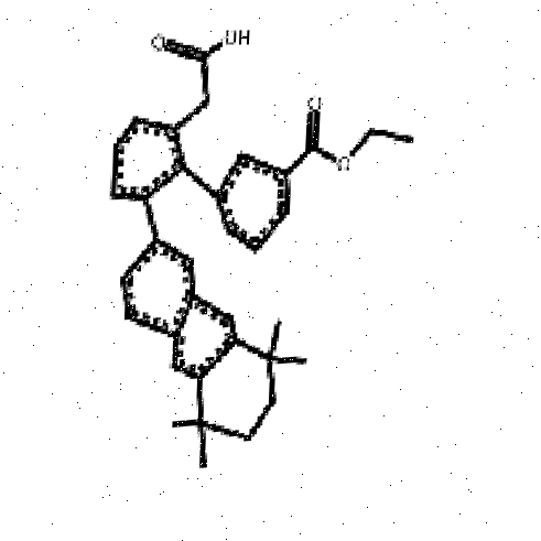 CCOC(=O)c1cccc(-c2c(CC(=O)O)cccc2-c2ccc3cc4c(cc3c2)C(C)(C)CCC4(C)C)c1